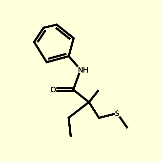 CCC(C)(CSC)C(=O)Nc1ccccc1